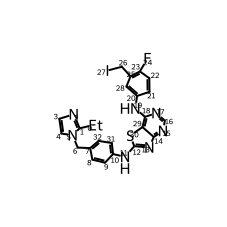 CCc1nccn1Cc1ccc(Nc2nc3ncnc(Nc4ccc(F)c(CI)c4)c3s2)cc1